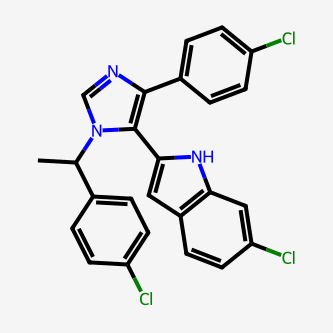 CC(c1ccc(Cl)cc1)n1cnc(-c2ccc(Cl)cc2)c1-c1cc2ccc(Cl)cc2[nH]1